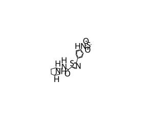 CS(=O)(=O)Nc1ccc(-c2ncc(C(=O)N[C@@H]3C[C@H]4CC[C@@H]3N4)s2)cc1